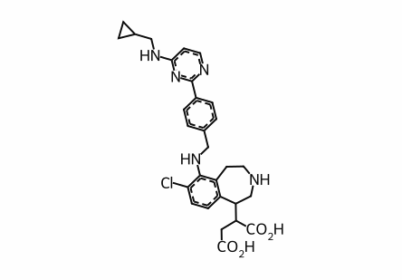 O=C(O)CC(C(=O)O)C1CNCCc2c1ccc(Cl)c2NCc1ccc(-c2nccc(NCC3CC3)n2)cc1